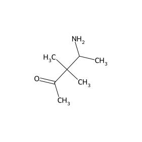 CC(=O)C(C)(C)C(C)N